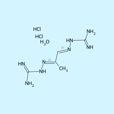 CC(/C=N/NC(=N)N)=N\NC(=N)N.Cl.Cl.O